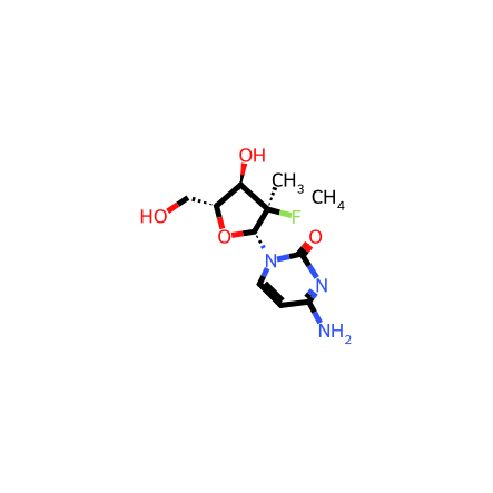 C.C[C@@]1(F)[C@H](O)[C@@H](CO)O[C@H]1n1ccc(N)nc1=O